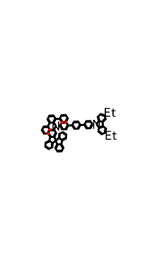 CCc1ccc2c(c1)c1cc(CC)ccc1n2-c1ccc(-c2ccc(-c3ccc(N(c4ccc5c(c4)C4(c6ccccc6-c6ccccc64)c4ccccc4-5)c4c(-c5ccccc5)cccc4-c4ccccc4)cc3)cc2)cc1